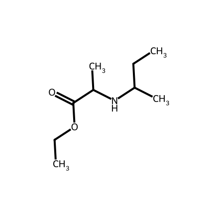 CCOC(=O)C(C)NC(C)CC